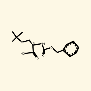 CC(C)(C)OC[C@@H](NC(=O)OCc1ccccc1)C(=O)O